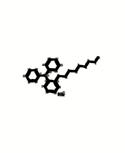 Br.CCCCCCCCCc1ccccc1P(c1ccccc1)c1ccccc1